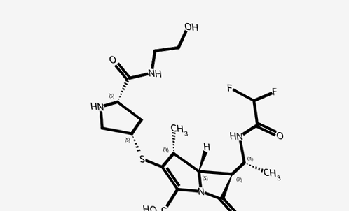 C[C@@H](NC(=O)C(F)F)[C@H]1C(=O)N2C(C(=O)O)=C(S[C@@H]3CN[C@H](C(=O)NCCO)C3)[C@H](C)[C@H]12